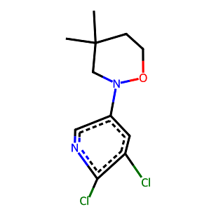 CC1(C)CCON(c2cnc(Cl)c(Cl)c2)C1